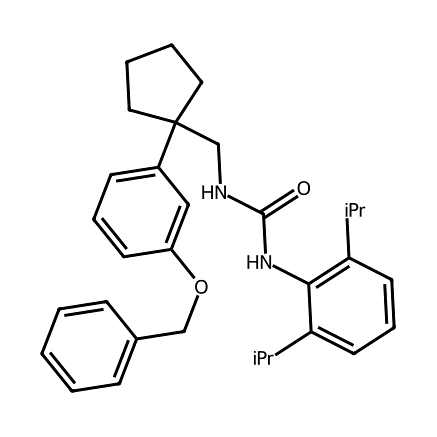 CC(C)c1cccc(C(C)C)c1NC(=O)NCC1(c2cccc(OCc3ccccc3)c2)CCCC1